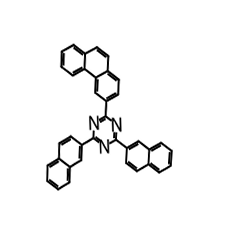 c1ccc2cc(-c3nc(-c4ccc5ccccc5c4)nc(-c4ccc5ccc6ccccc6c5c4)n3)ccc2c1